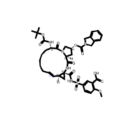 COc1ccc(S(=O)(=O)NC(=O)[C@@]23C[C@H]2/C=C/CCCCC[C@H](NC(=O)OC(C)(C)C)C(=O)N2C[C@H](OC(=O)N4Cc5ccccc5C4)C[C@H]2C(=O)N3)cc1C(=O)O